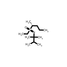 CCC[C@@H](C)S(=O)(CC)=NC(C)(C)C(C)C